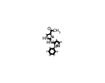 CC(=O)C1CNC(Nc2ccnn2-c2ccccc2)=N1